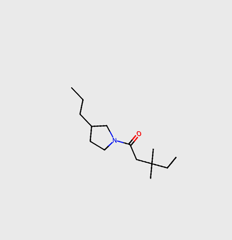 CCCC1CCN(C(=O)CC(C)(C)CC)C1